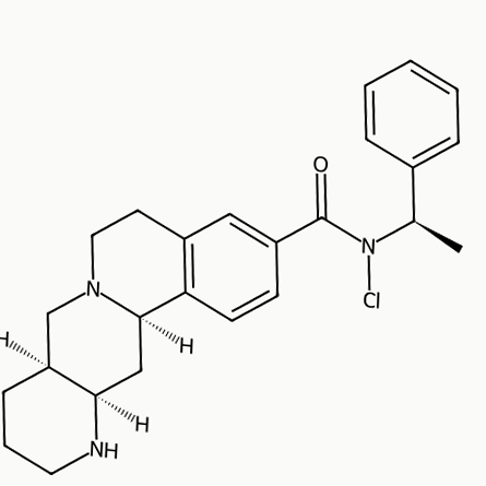 C[C@H](c1ccccc1)N(Cl)C(=O)c1ccc2c(c1)CCN1C[C@@H]3CCCN[C@@H]3C[C@H]21